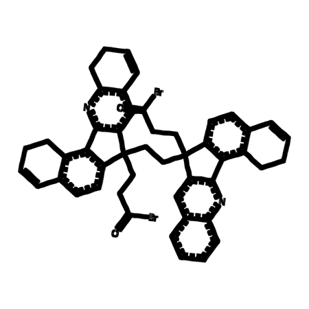 O=C(Br)CCC1(CCC2(CCC(=O)Br)c3cc4ccccc4nc3-c3c2ccc2c3CCC=C2)c2cc3c(nc2-c2c1ccc1c2CCC=C1)CCC=C3